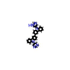 C1=CC2C3=C(C=CC(c4ccc5c(c4)c4ccccc4n5-c4cncnc4)C3)N(C3=CN=CNC3)C2C=C1